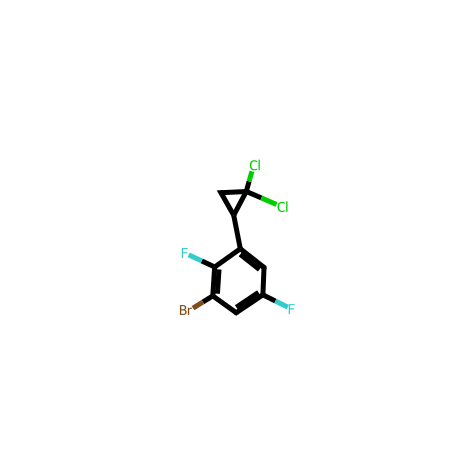 Fc1cc(Br)c(F)c(C2CC2(Cl)Cl)c1